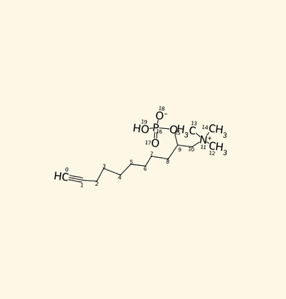 C#CCCCCCCCC(C[N+](C)(C)C)OP(=O)([O-])O